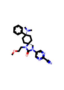 COCCN1C(=O)N(c2cnc(C#N)nc2)C[C@]12CC[C@@](c1ccccc1)(N(C)C)CC2